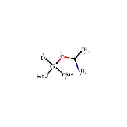 CC[Si](OC)(OC)OC(C)N